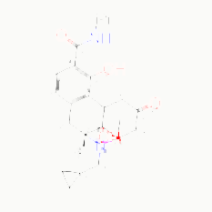 CC(C)NC(=O)c1ccc2c(c1O)[C@]13CCN(CC4CC4)[C@H](C2)[C@]1(O)CCC(=O)C3